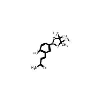 CC1(C)OB(c2ccc(O)c(/C=C/C(N)=O)c2)OC1(C)C